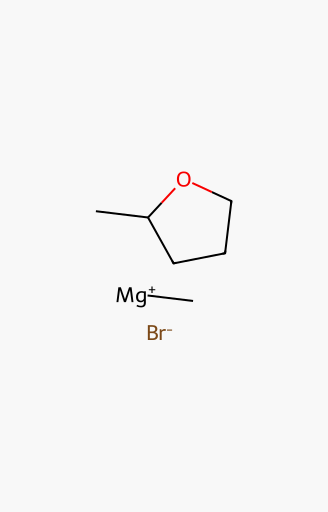 CC1CCCO1.[Br-].[CH3][Mg+]